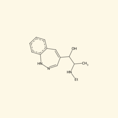 CCNC(C)C(O)C1=Cc2ccccc2NN=C1